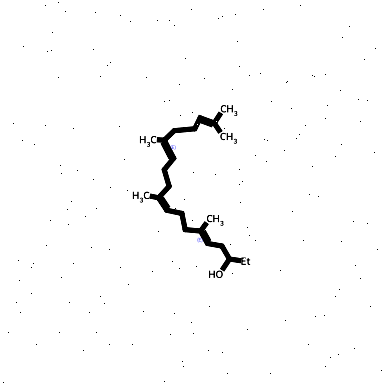 CCC(O)C/C=C(\C)CCC=C(C)CC/C=C(\C)CCC=C(C)C